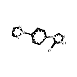 O=c1[nH]ncn1-c1ccc(-n2nccn2)cc1